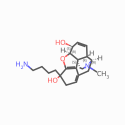 CN1CC[C@]23C4=C5O[C@H]2[C@@H](O)C=C[C@H]3[C@H]1CC4=CCC5(O)CCCCN